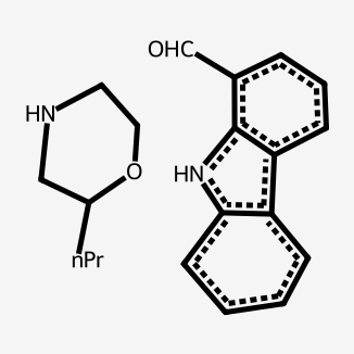 CCCC1CNCCO1.O=Cc1cccc2c1[nH]c1ccccc12